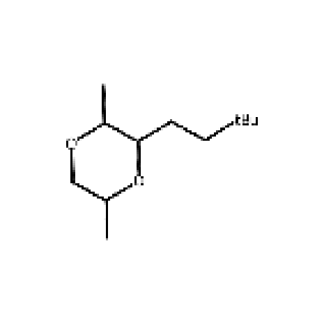 CC1COC(C)C(C[CH]C(C)(C)C)O1